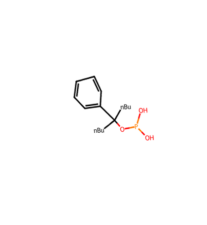 CCCCC(CCCC)(OP(O)O)c1ccccc1